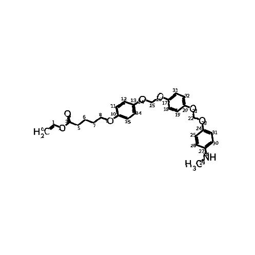 C=COC(=O)CCCCOc1ccc(OCOc2ccc(OCOc3ccc(NC)cc3)cc2)cc1